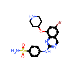 NS(=O)(=O)c1ccc(Nc2ncc3cc(Br)cc(OC4CCNCC4)c3n2)cc1